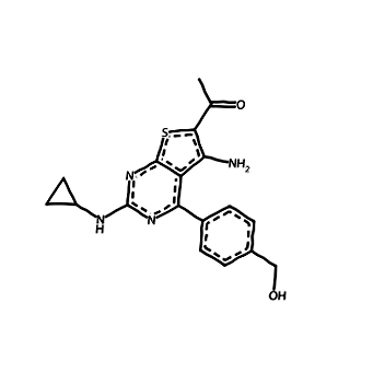 CC(=O)c1sc2nc(NC3CC3)nc(-c3ccc(CO)cc3)c2c1N